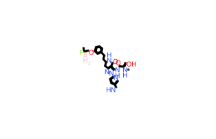 BC(C)(F)COc1cccc(CCC2Cc3nn(-c4ccc(C=N)cn4)c(NC(=O)/C(=C/O)NC)c3C(=O)N2)c1